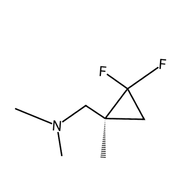 CN(C)C[C@]1(C)CC1(F)F